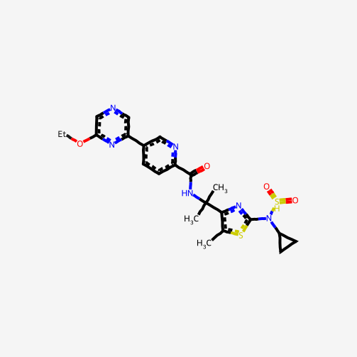 CCOc1cncc(-c2ccc(C(=O)NC(C)(C)c3nc(N(C4CC4)[SH](=O)=O)sc3C)nc2)n1